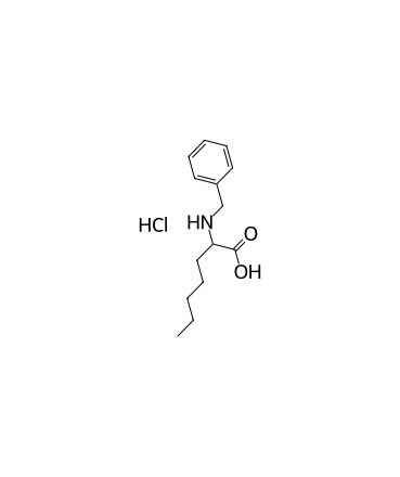 CCCCCC(NCc1ccccc1)C(=O)O.Cl